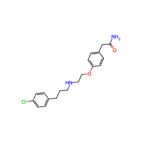 NC(=O)Cc1ccc(OCCNCCCc2ccc(Cl)cc2)cc1